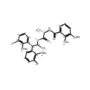 COc1ccnc(C(=O)N[C@@H](C)C(=O)OC(C)C(c2cccc(F)c2OC)c2cccc(F)c2OC)c1OC(C)=O